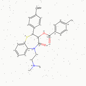 COc1ccc(C2Sc3ccccc3N(CCN(C)C)C(=O)C2OC(=O)c2ccc(C)cc2)cc1